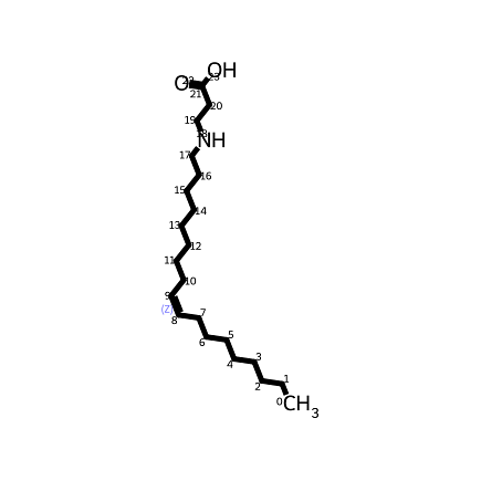 CCCCCCCC/C=C\CCCCCCCCNCCC(=O)O